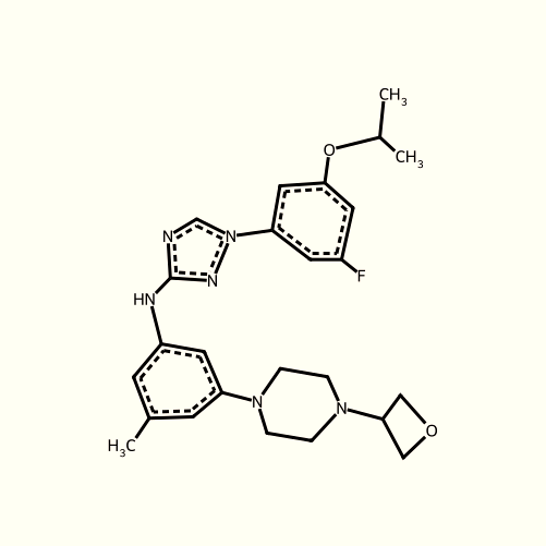 Cc1cc(Nc2ncn(-c3cc(F)cc(OC(C)C)c3)n2)cc(N2CCN(C3COC3)CC2)c1